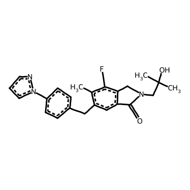 Cc1c(Cc2ccc(-n3cccn3)cc2)cc2c(c1F)CN(CC(C)(C)O)C2=O